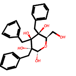 OC[C@H]1O[C@H](O)[C@@](O)(Cc2ccccc2)[C@](O)(Cc2ccccc2)[C@]1(O)Cc1ccccc1